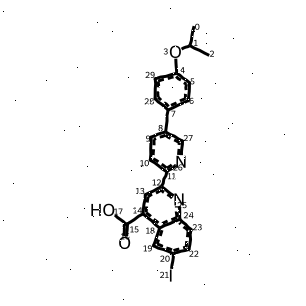 CC(C)Oc1ccc(-c2ccc(-c3cc(C(=O)O)c4cc(I)ccc4n3)nc2)cc1